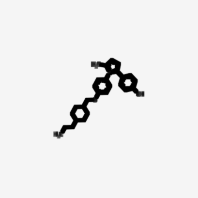 CCCC1CCC(COc2ccc(-n3c(C)ccc3-c3ccc(O)cc3)cc2)CC1